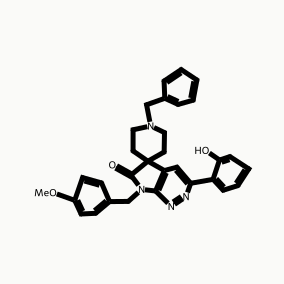 COc1ccc(CN2C(=O)C3(CCN(Cc4ccccc4)CC3)c3cc(-c4ccccc4O)nnc32)cc1